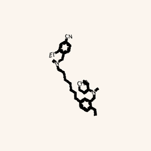 C=Cc1ccc(CCCCCCCN(C)Cc2ccc(C#N)cc2CC)cc1CN(C)C(C=C)CCC=O